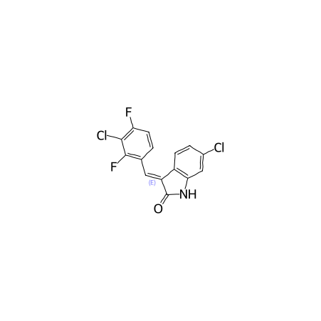 O=C1Nc2cc(Cl)ccc2/C1=C\c1ccc(F)c(Cl)c1F